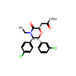 COC(=O)C[C@H]1O[C@H](c2cccc(Cl)c2)[C@@H](c2ccc(Cl)cc2)N(CC(C)C)C1=O